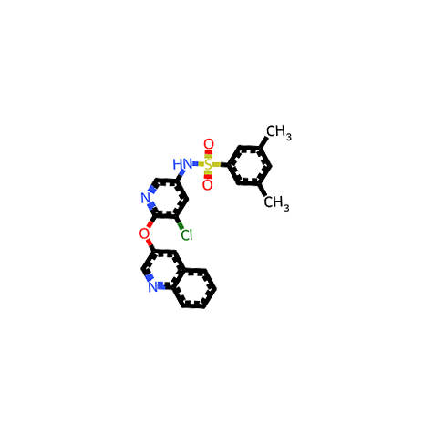 Cc1cc(C)cc(S(=O)(=O)Nc2cnc(Oc3cnc4ccccc4c3)c(Cl)c2)c1